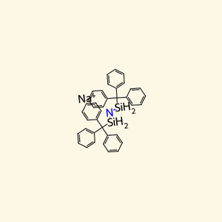 [Na+].c1ccc(C([SiH2][N-][SiH2]C(c2ccccc2)(c2ccccc2)c2ccccc2)(c2ccccc2)c2ccccc2)cc1